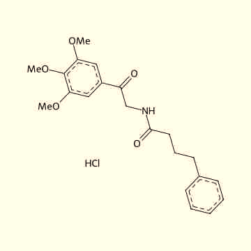 COc1cc(C(=O)CNC(=O)CCCc2ccccc2)cc(OC)c1OC.Cl